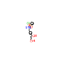 O=S(=O)(NCCc1ccc(C(O)CCCO)cc1)c1ccccc1Cl